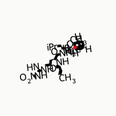 C/C=C/C(=O)N[C@@H](CCCNC(=N)N[N+](=O)[O-])C(=O)N[C@@H](CC(C)C)B1O[C@@H]2C[C@@H]3C[C@@H](C3(C)C)[C@]2(C)O1